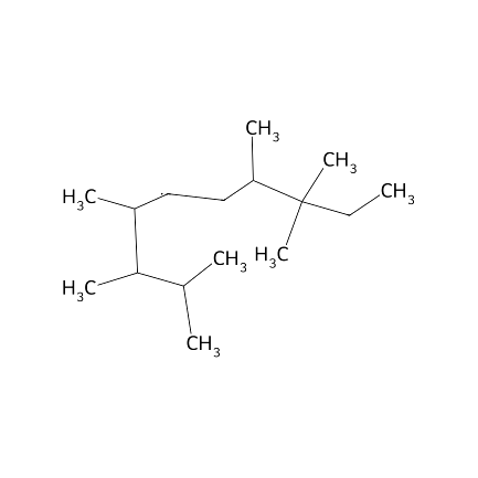 CCC(C)(C)C(C)C[CH]C(C)C(C)C(C)C